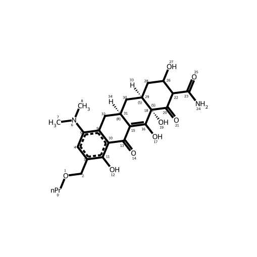 CCCOCc1cc(N(C)C)c2c(c1O)C(=O)C1=C(O)[C@]3(O)C(=O)C(C(N)=O)C(O)C[C@@H]3C[C@@H]1C2